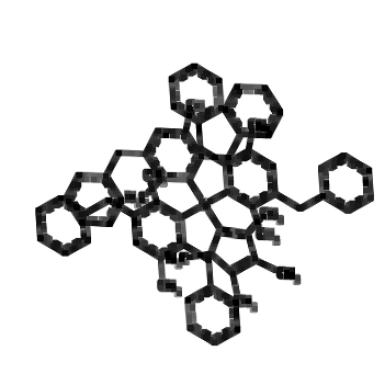 CC1=C(C)C(C)C([Si](c2c(C)c(Cc3ccccc3)cc(C)c2Cc2ccccc2)(c2c(C)c(Cc3ccccc3)cc(C)c2Cc2ccccc2)c2c(C)c(Cc3ccccc3)cc(C)c2Cc2ccccc2)=C1C